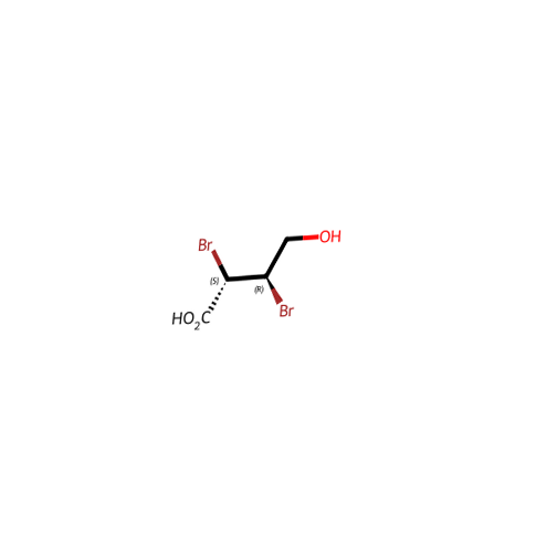 O=C(O)[C@H](Br)[C@H](Br)CO